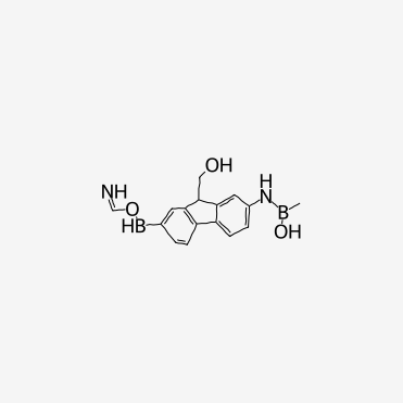 CB(O)Nc1ccc2c(c1)C(CO)c1cc(BOC=N)ccc1-2